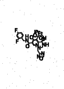 CCC(O)(OC(C)C)c1c2n(cc(C(=O)NCc3ccc(F)cc3F)c1=O)N(Cc1ncon1)CNC2=O